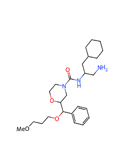 COCCCOC(c1ccccc1)C1CN(C(=O)NC(CN)CC2CCCCC2)CCO1